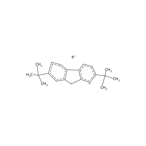 CC(C)(C)c1[c-]c2c(cc1)-c1ccc(C(C)(C)C)cc1C2.[K+]